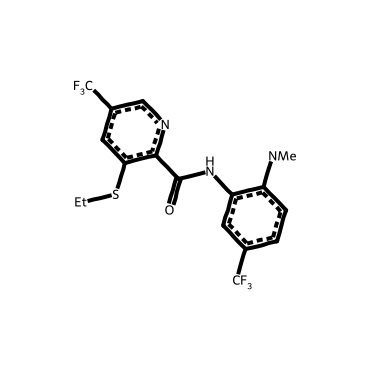 CCSc1cc(C(F)(F)F)cnc1C(=O)Nc1cc(C(F)(F)F)ccc1NC